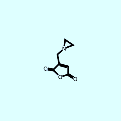 O=C1C=C(CN2CC2)C(=O)O1